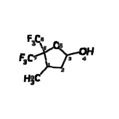 CC1CC(O)OC1(C(F)(F)F)C(F)(F)F